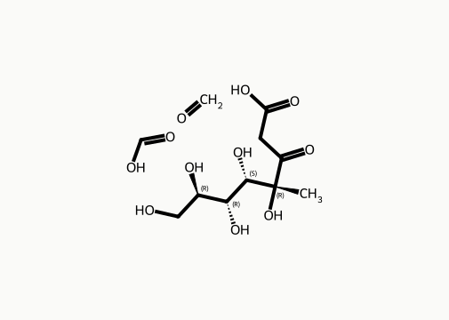 C=O.C[C@](O)(C(=O)CC(=O)O)[C@@H](O)[C@H](O)[C@H](O)CO.O=CO